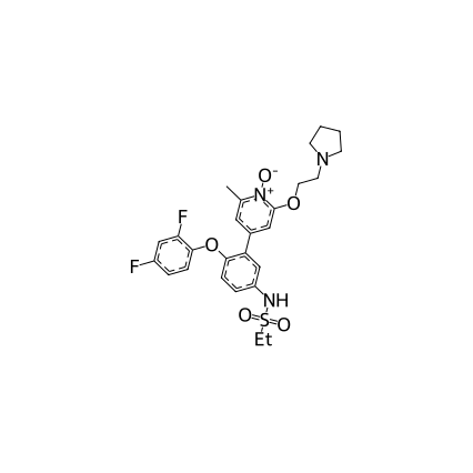 CCS(=O)(=O)Nc1ccc(Oc2ccc(F)cc2F)c(-c2cc(C)[n+]([O-])c(OCCN3CCCC3)c2)c1